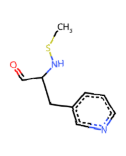 CSNC(C=O)Cc1cccnc1